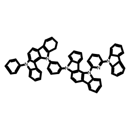 C1=Cc2c(n(-c3cccc(-n4c5ccccc5c5c4ccc4c6ccccc6n(-c6cccc(-n7c8ccccc8c8ccccc87)n6)c45)c3)c3c2ccc2c3c3ccccc3n2-c2ccccc2)CC1